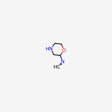 [CH]=NC1CNCCO1